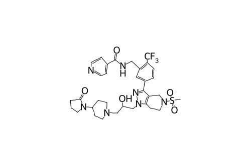 CS(=O)(=O)N1CCc2c(c(-c3ccc(C(F)(F)F)c(CNC(=O)c4ccncc4)c3)nn2CC(O)CN2CCC(N3CCCC3=O)CC2)C1